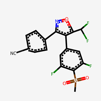 CS(=O)(=O)c1c(F)cc(-c2c(-c3ccc(C#N)cc3)noc2C(F)F)cc1F